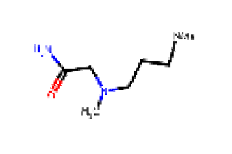 CNCCCN(C)CC(N)=O